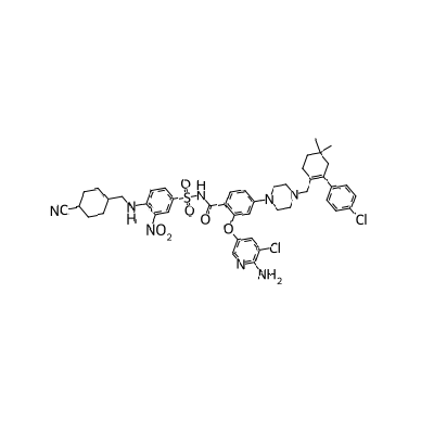 CC1(C)CCC(CN2CCN(c3ccc(C(=O)NS(=O)(=O)c4ccc(NCC5CCC(C#N)CC5)c([N+](=O)[O-])c4)c(Oc4cnc(N)c(Cl)c4)c3)CC2)=C(c2ccc(Cl)cc2)C1